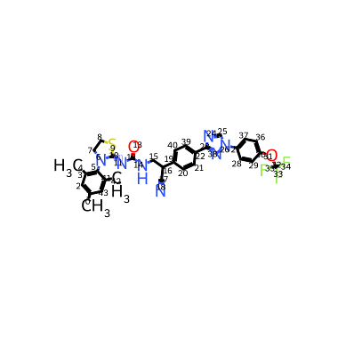 Cc1cc(C)c(N2CCS/C2=N\C(=O)NCC(C#N)c2ccc(-c3ncn(-c4ccc(OC(F)(F)F)cc4)n3)cc2)c(C)c1